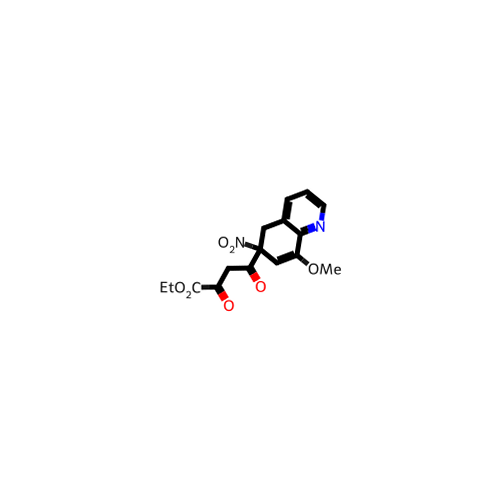 CCOC(=O)C(=O)CC(=O)C1([N+](=O)[O-])C=C(OC)c2ncccc2C1